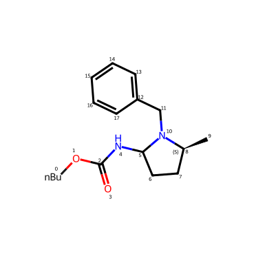 CCCCOC(=O)NC1CC[C@H](C)N1Cc1ccccc1